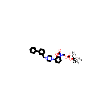 CC(C)(C)OC(=O)OCn1c(=O)oc2c(N3CCN(Cc4cccc(-c5ccccc5)c4)CC3)cccc21